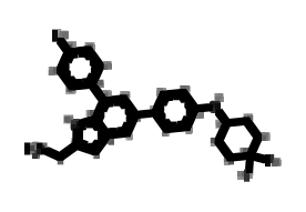 NCc1cc2cc(-c3ccc(OC4CCC(F)(F)CC4)cc3)cc(-c3ccc(F)cc3)c2o1